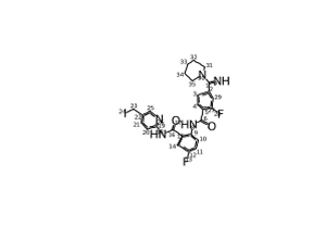 N=C(c1ccc(C(=O)Nc2ccc(F)cc2C(=O)Nc2ccc(CI)cn2)c(F)c1)N1CCCCC1